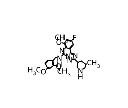 COc1ccc(CNc2nc3c(OC)cc(F)cc3c3nc(C4CNCC(C)C4)nn23)c(OC)c1